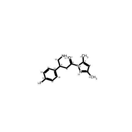 Cc1cc(C)n(C(=O)CC(CN)c2ccc(F)cc2)n1